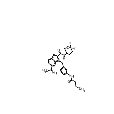 N=C(N)c1ccc2cc(C(=O)NC3CCC(F)(F)CC3)n(Cc3cccc(NC(=O)CCN)c3)c2c1